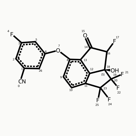 N#Cc1cc(F)cc(Oc2ccc3c4c2C(=O)C(F)[C@]4(O)C(F)(F)C3(F)F)c1